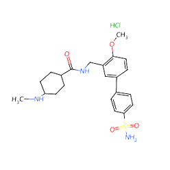 CNC1CCC(C(=O)NCc2cc(-c3ccc(S(N)(=O)=O)cc3)ccc2OC)CC1.Cl